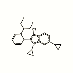 N#Cc1c(C2C=CC=CN2C(CF)CF)n(C2CC2)c2cc(C3CC3)ccc12